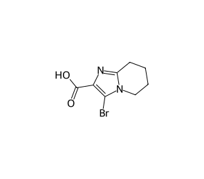 O=C(O)c1nc2n(c1Br)CCCC2